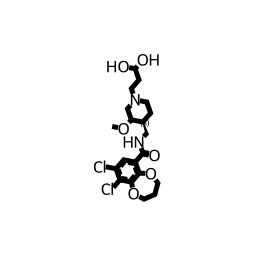 COC1CN(CCC(O)O)CC[C@H]1CNC(=O)c1cc(Cl)c(Cl)c2c1OCCCO2